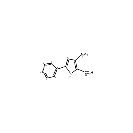 CNc1cc(-c2ccncc2)sc1C(=O)O